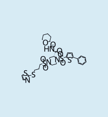 O=C(NOC1CCCCO1)[C@H]1CN(S(=O)(=O)CCCSc2nccs2)CCN1S(=O)(=O)c1ccc(-c2ccccc2)s1